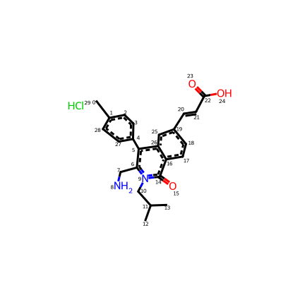 Cc1ccc(-c2c(CN)n(CC(C)C)c(=O)c3ccc(/C=C/C(=O)O)cc23)cc1.Cl